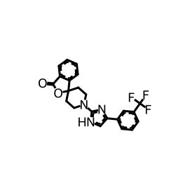 O=C1OC2(CCN(c3nc(-c4cccc(C(F)(F)F)c4)c[nH]3)CC2)c2ccccc21